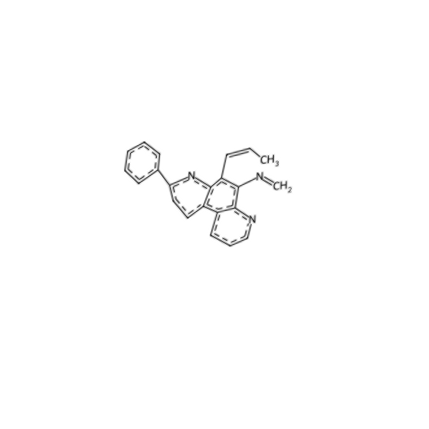 C=Nc1c(/C=C\C)c2nc(-c3ccccc3)ccc2c2cccnc12